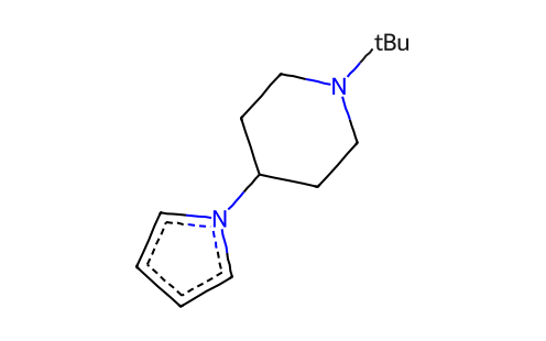 CC(C)(C)N1CCC(n2cccc2)CC1